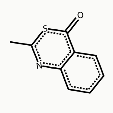 Cc1nc2ccccc2c(=O)s1